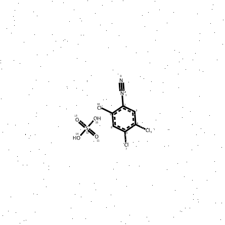 N#[N+]c1cc(Cl)c(Cl)cc1Cl.O=S(=O)(O)O